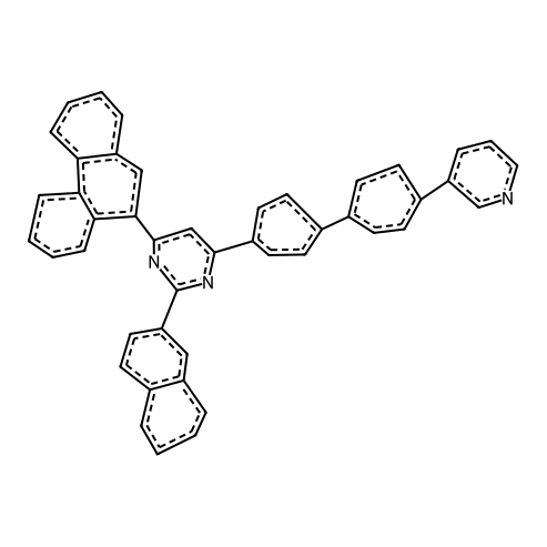 c1cncc(-c2ccc(-c3ccc(-c4cc(-c5cc6ccccc6c6ccccc56)nc(-c5ccc6ccccc6c5)n4)cc3)cc2)c1